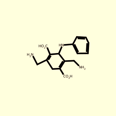 NCC1=C(C(=O)O)C(Nc2ccccc2)C(CN)=C(C(=O)O)C1